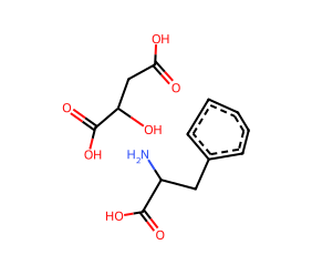 NC(Cc1ccccc1)C(=O)O.O=C(O)CC(O)C(=O)O